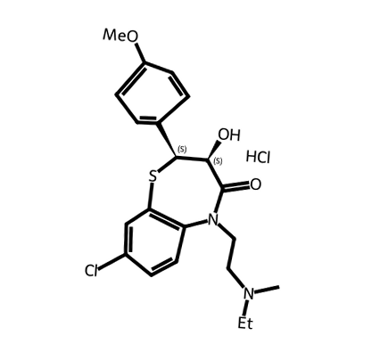 CCN(C)CCN1C(=O)[C@H](O)[C@H](c2ccc(OC)cc2)Sc2cc(Cl)ccc21.Cl